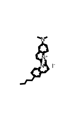 CCCCc1ccc2c(ccc3c[n+]4c5ccc(N(C)C)cc5ccc4n32)c1.[I-]